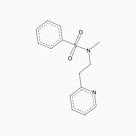 CN(CCc1ccccn1)S(=O)(=O)c1[c]cccc1